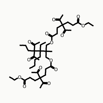 CCCCC(CC)(C(C)(COC(=O)CCC(CCC(=O)OCC)(C(C)=O)C(C)=O)COC(=O)CCC(CCC(=O)OCC)(C(C)=O)C(C)=O)C(CCC)(C(C)=O)C(C)=O